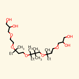 CCC(C)(CCOC(C)(CC)C(C)(C)COC(C)(CC)CCOCC(O)CO)OCCOCC(O)CO